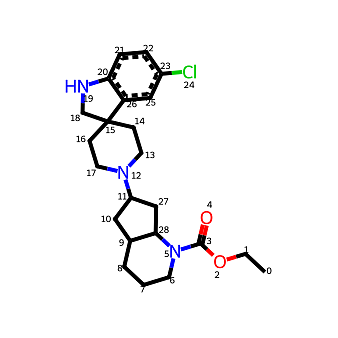 CCOC(=O)N1CCCC2CC(N3CCC4(CC3)CNc3ccc(Cl)cc34)CC21